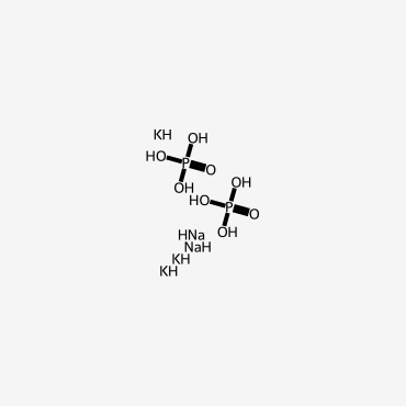 O=P(O)(O)O.O=P(O)(O)O.[KH].[KH].[KH].[NaH].[NaH]